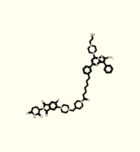 Cc1nn2c(N3CCN(CCO)CC3)cc(-c3cccc(CCCCCCC(=O)N4CCC(CN5CCN(c6cc7c(cc6F)C(=O)N(C6CCC(=O)NC6=O)C7=O)CC5)CC4)c3)nc2c1-c1ccccc1